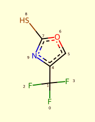 FC(F)(F)c1coc(S)n1